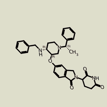 C[C@@H](c1ccccc1)N1CC[C@@H](NCc2ccccc2)[C@H](Oc2ccc3c(c2)CN(C2CCC(=O)NC2=O)C3=O)C1